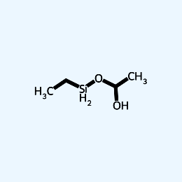 CC[SiH2]OC(C)O